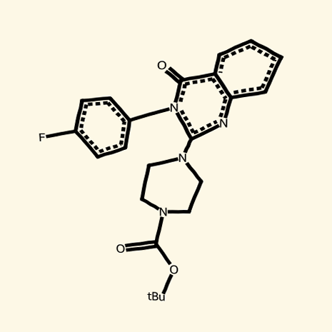 CC(C)(C)OC(=O)N1CCN(c2nc3ccccc3c(=O)n2-c2ccc(F)cc2)CC1